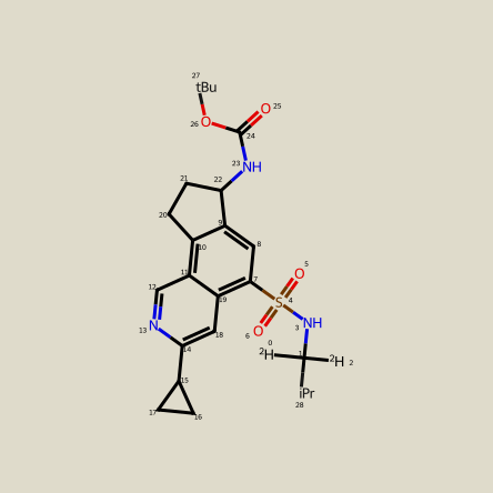 [2H]C([2H])(NS(=O)(=O)c1cc2c(c3cnc(C4CC4)cc13)CCC2NC(=O)OC(C)(C)C)C(C)C